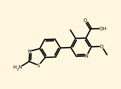 COc1ncc(-c2ccc3nc(N)sc3c2)c(C)c1C(=O)O